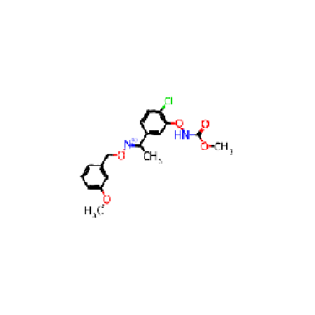 COC(=O)NOc1cc(/C(C)=N/OCc2cccc(OC)c2)ccc1Cl